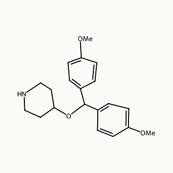 COc1ccc(C(OC2CCNCC2)c2ccc(OC)cc2)cc1